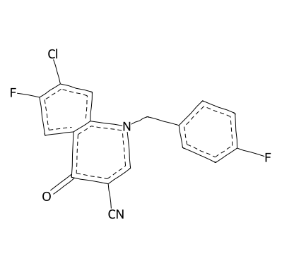 N#Cc1cn(Cc2ccc(F)cc2)c2cc(Cl)c(F)cc2c1=O